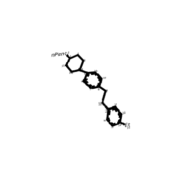 CCCCCC1CCC(c2ccc(CCc3ccc(CC)cc3)cc2)CC1